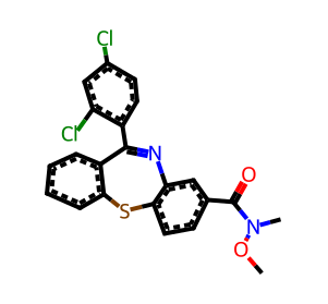 CON(C)C(=O)c1ccc2c(c1)N=C(c1ccc(Cl)cc1Cl)c1ccccc1S2